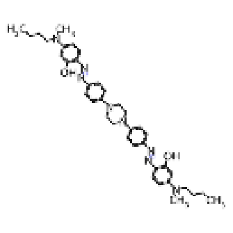 CCCCN(C)c1ccc(/N=N/c2ccc(N3CCN(c4ccc(/N=N/c5ccc(N(C)CCCC)cc5O)cc4)CC3)cc2)c(O)c1